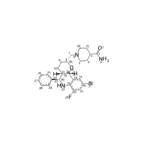 NC(=O)C1CCN(C[C@H]2CC[C@@H]3[C@H](O2)c2cc(Br)cc(F)c2N[C@H]3c2ccccc2)CC1